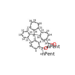 CCCCCC(=O)c1ccc2c(c1)C1(c3ccccc3-2)c2ccccc2-c2ccc(C(=O)CCCCC)cc21